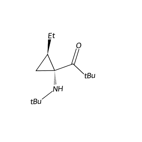 CC[C@@H]1C[C@]1(NC(C)(C)C)C(=O)C(C)(C)C